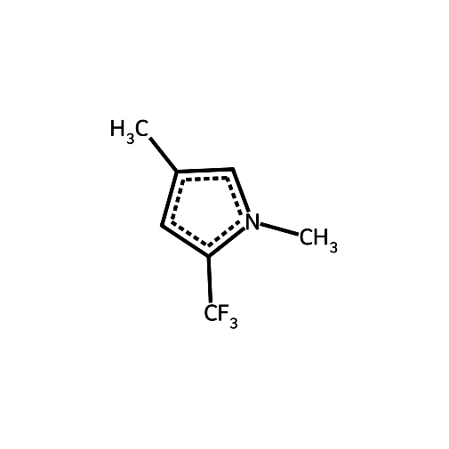 Cc1cc(C(F)(F)F)n(C)c1